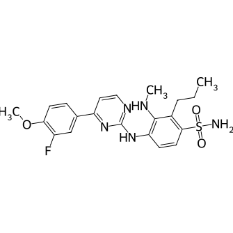 CCCc1c(S(N)(=O)=O)ccc(Nc2nccc(-c3ccc(OC)c(F)c3)n2)c1NC